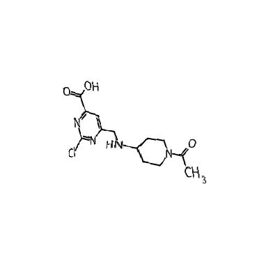 CC(=O)N1CCC(NCc2cc(C(=O)O)nc(Cl)n2)CC1